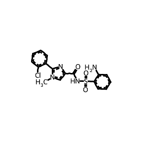 Cn1cc(C(=O)NS(=O)(=O)c2ccccc2N)nc1-c1ccccc1Cl